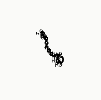 C[C@@]1(O)CC/C=C\Cn2c(=O)c3cnc(Nc4ccc(N5CCC(N6CCC(N7CCN(c8ccc9c(c8)C(=O)N(C8CCC(=O)NC8=O)C9)CC7)C6)CC5)cc4)nc3n2-c2cccc1n2